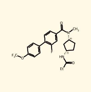 CCC(=O)N[C@H]1CC[C@@H](N(C)C(=O)c2ccc(-c3ccc(OC(F)(F)F)cc3)c(F)c2)C1